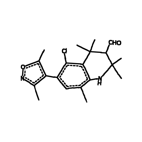 Cc1cc(-c2c(C)noc2C)c(Cl)c2c1NC(C)(C)C(C=O)C2(C)C